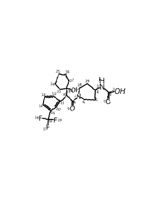 O=C(O)NC1CCN(C(=O)C(c2cccc(C(F)(F)F)c2)C2(O)CCCCC2)CC1